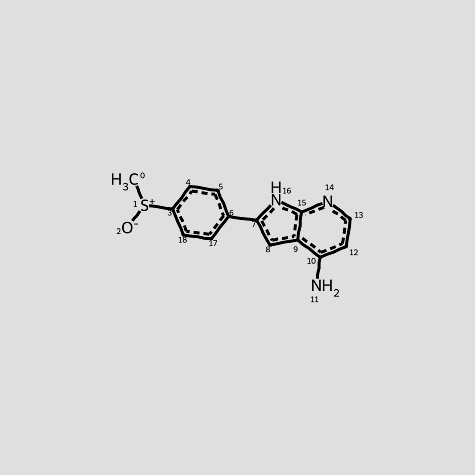 C[S+]([O-])c1ccc(-c2cc3c(N)ccnc3[nH]2)cc1